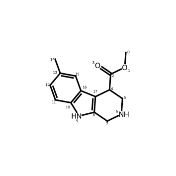 COC(=O)C1CNCc2[nH]c3ccc(C)cc3c21